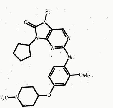 CCn1c(=O)n(C2CCCC2)c2nc(Nc3ccc(OC4CCN(C)CC4)cc3OC)ncc21